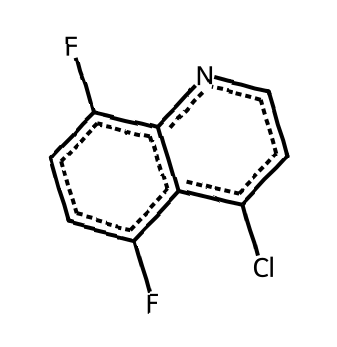 Fc1ccc(F)c2c(Cl)ccnc12